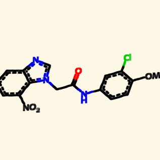 COc1ccc(NC(=O)Cn2cnc3cccc([N+](=O)[O-])c32)cc1Cl